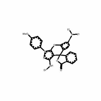 CCNc1nn(-c2ccc(OC)cc2)c2c1C1(OC(=O)c3ccccc31)c1ccc(N(CC)CC)cc1O2